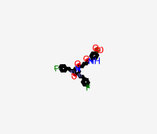 O=C(CCCC(=O)N1C/C(=C\Cc2ccc(F)cc2)C(=O)/C(=C/Cc2ccc(F)cc2)C1)NC1=CCC(=S(=O)=O)C=C1